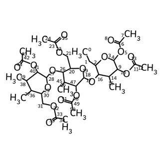 CCC1OC(OC(C)=O)C(OC(C)=O)C(C)C1OC1OC(COC(C)=O)C(OC2OC(COC(C)=O)C(C)C(C)C2OC(C)=O)C(C)C1OC(C)=O